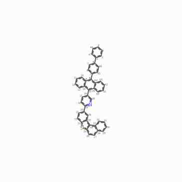 c1ccc(-c2ccc(-c3c4ccccc4c(-c4ccc(-c5ccc6sc7ccc8ccccc8c7c6c5)nc4)c4ccccc34)cc2)cc1